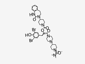 CN(C)[S+]([O-])N1CCC(N2CCN(C(=O)[C@@H](Cc3cc(Br)c(O)c(Br)c3)OC(=O)N3CCC(N4CCc5ccccc5NC4=O)CC3)CC2)CC1